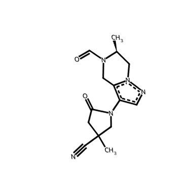 C[C@H]1Cn2ncc(N3CC(C)(C#N)CC3=O)c2CN1C=O